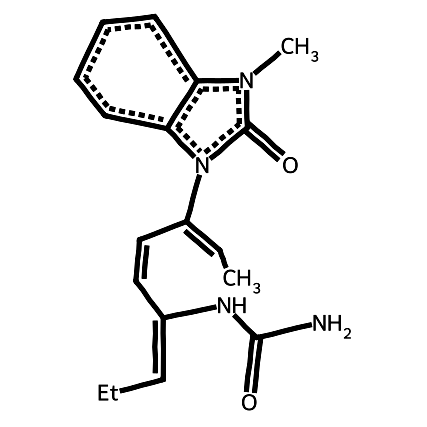 C\C=C(/C=C\C(=C/CC)NC(N)=O)n1c(=O)n(C)c2ccccc21